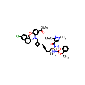 COC(=O)c1ccc2c(c1)N(C[C@@H]1CC[C@H]1CC#CC[C@H](C)C[SH](NC(=O)O[C@@H](C)c1ccccc1)NC(=O)c1cn(C)nc1OC)C[C@@]1(CCCc3cc(Cl)ccc31)CO2